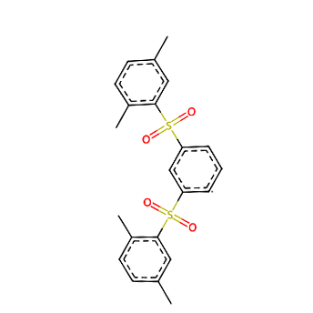 Cc1ccc(C)c(S(=O)(=O)c2[c]ccc(S(=O)(=O)c3cc(C)ccc3C)c2)c1